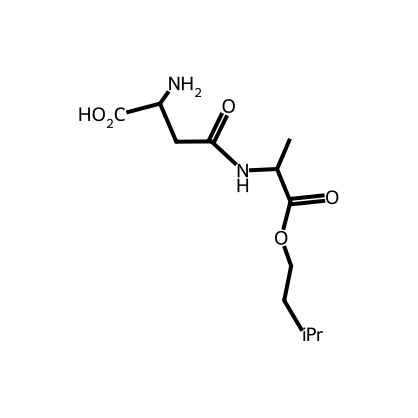 CC(C)CCOC(=O)C(C)NC(=O)CC(N)C(=O)O